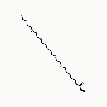 C=CC(=O)OCCOCCOCCOCCOCCOCCOCCOCC